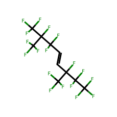 FC(F)(F)C(F)(F)C(F)(/C=C/C(F)(F)C(F)(C(F)(F)F)C(F)(F)F)C(F)(F)F